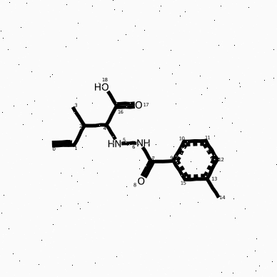 C=CC(C)C(NNC(=O)c1cccc(C)c1)C(=O)O